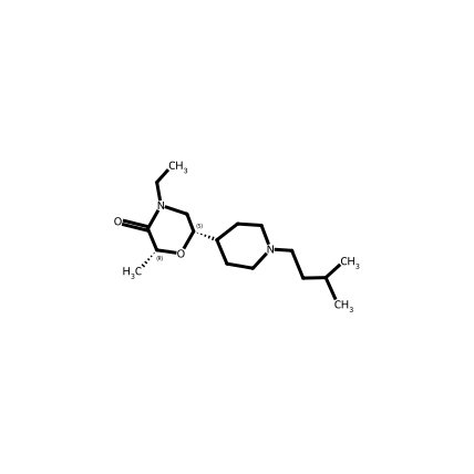 CCN1C[C@H](C2CCN(CCC(C)C)CC2)O[C@H](C)C1=O